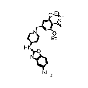 CCOc1cc(CN2CCC(Nc3nc4cc(N)ccc4o3)CC2)cc(OCC)c1[S+](C)[O-]